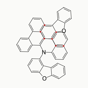 c1ccc(-c2c(N(c3ccccc3-c3cccc4c3oc3ccccc34)c3cccc4oc5ccccc5c34)c3ccccc3c3ccccc23)cc1